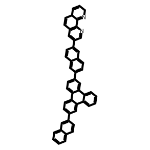 C1=CC2C=Cc3cc(-c4ccc5cc(-c6ccc7c8ccc(-c9ccc%10ccccc%10c9)cc8c8ccccc8c7c6)ccc5c4)cnc3C2=NC1